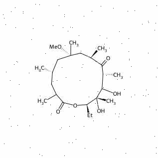 CC[C@H]1OC(=O)C(C)C[C@H](C)C[C@](C)(OC)C[C@@H](C)C(=O)[C@H](C)C(O)[C@]1(C)O